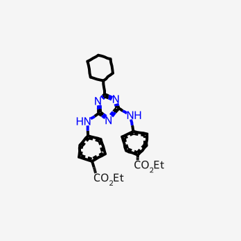 CCOC(=O)c1ccc(Nc2nc(Nc3ccc(C(=O)OCC)cc3)nc(C3CCCCC3)n2)cc1